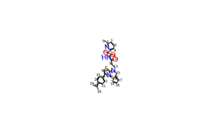 Cc1cccc(S(=O)(=O)NC(=O)CCN(Cc2cccs2)c2nc(-c3ccc(C(C)C)cc3)cs2)n1